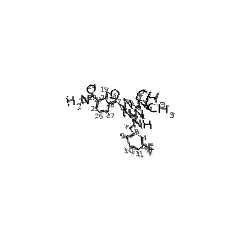 CN(C)c1nc(NCc2cccc(F)c2)nc(-c2occ3c(C(N)=O)cccc23)n1